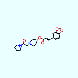 O=C(C=Cc1ccc2c(c1)OCO2)OC1CCN(CC(=O)N2CCCC2)CC1